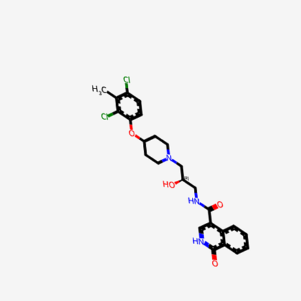 Cc1c(Cl)ccc(OC2CCN(C[C@H](O)CNC(=O)c3c[nH]c(=O)c4ccccc34)CC2)c1Cl